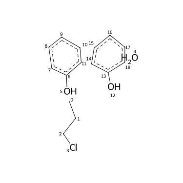 CCCCl.O.Oc1ccccc1.Oc1ccccc1